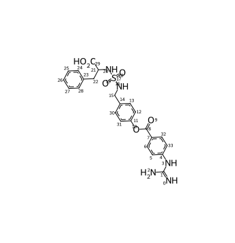 N=C(N)Nc1ccc(C(=O)Oc2ccc(CNS(=O)(=O)NC(Cc3ccccc3)C(=O)O)cc2)cc1